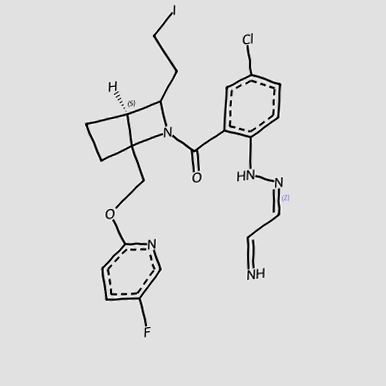 N=C/C=N\Nc1ccc(Cl)cc1C(=O)N1C(CCI)[C@@H]2CCC21COc1ccc(F)cn1